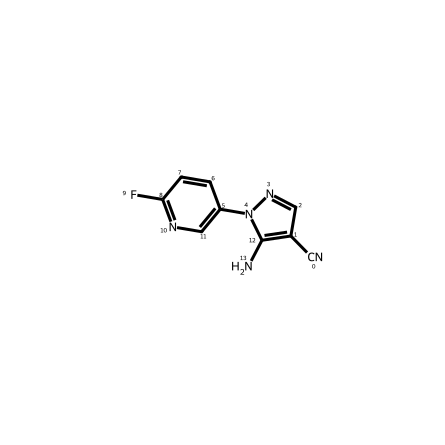 N#Cc1cnn(-c2ccc(F)nc2)c1N